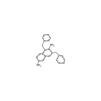 Nc1ccc2c(Cc3ccccc3)c(N)c(Cc3ccccc3)cc2c1